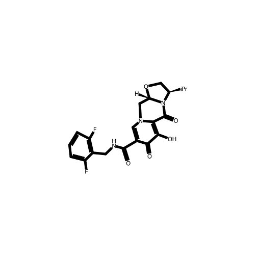 CC(C)[C@@H]1CO[C@H]2Cn3cc(C(=O)NCc4c(F)cccc4F)c(=O)c(O)c3C(=O)N21